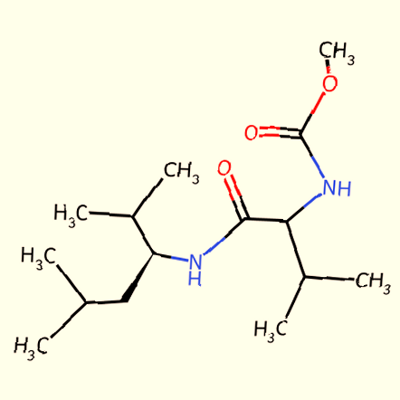 COC(=O)NC(C(=O)N[C@@H](CC(C)C)C(C)C)C(C)C